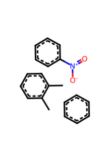 Cc1ccccc1C.O=[N+]([O-])c1ccccc1.c1ccccc1